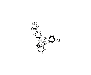 CC(C)(C)OC(=O)N1CCC(N2C[C@@H]3CCCCN3C[C@@H]2Cc2ccc(Cl)cc2)CC1